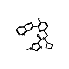 Cn1cnc(C(=O)N(Cc2ccc(F)c(-c3ccc4cccnc4c3)c2)C2CCC2)c1